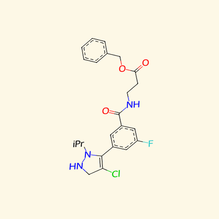 CC(C)N1NCC(Cl)=C1c1cc(F)cc(C(=O)NCCC(=O)OCc2ccccc2)c1